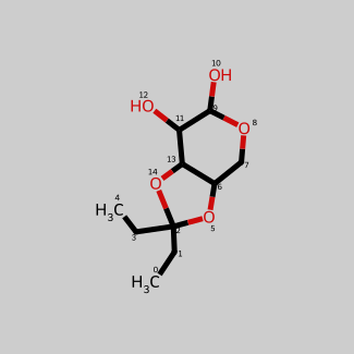 CCC1(CC)OC2COC(O)C(O)C2O1